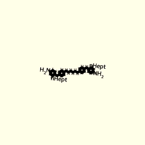 CCCCCCCc1cc(N)ccc1Cc1ccc(CCCCCCc2ccc(Cc3ccc(N)cc3CCCCCCC)cc2)cc1